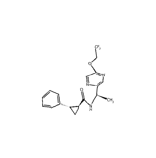 C[C@@H](NC(=O)[C@H]1C[C@@H]1c1ccccc1)c1cnc(OCC(F)(F)F)cn1